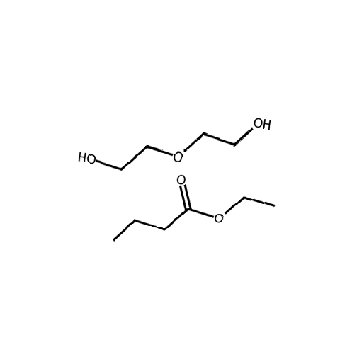 CCCC(=O)OCC.OCCOCCO